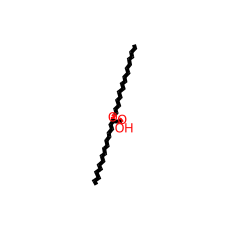 CCCCCCCCCCCCCCCCCCOC(CCCCCCCCCCCCCCCC)C(=O)O